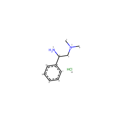 CN(C)CC(N)c1ccccc1.Cl